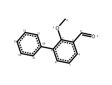 COc1c(C=O)cccc1-c1ccccc1